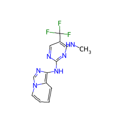 CNc1nc(Nc2ncn3ccccc23)ncc1C(F)(F)F